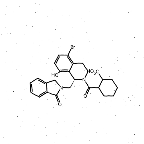 O=C(O)C1CCCCC1C(=O)N1CCc2c(Br)ccc(O)c2[C@H]1CN1Cc2ccccc2C1=O